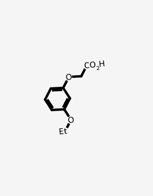 CCOc1cccc(OCC(=O)O)c1